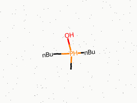 CCCC[PH](C)(O)CCCC